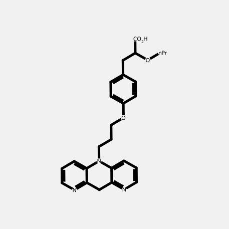 CCCOC(Cc1ccc(OCCCN2c3cccnc3Cc3ncccc32)cc1)C(=O)O